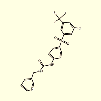 O=C(NCc1cccnc1)Nc1ccc(S(=O)(=O)c2cc(Cl)cc(C(F)(F)F)c2)cc1